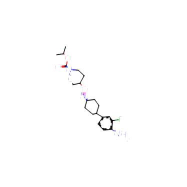 CC(C)OC(=O)N1CCC(ON=C2CCC(c3ccc(N)c(F)c3)CC2)CC1